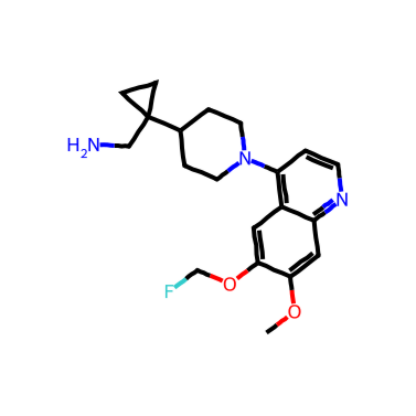 COc1cc2nccc(N3CCC(C4(CN)CC4)CC3)c2cc1OCF